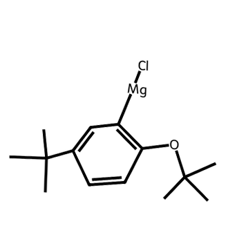 CC(C)(C)Oc1ccc(C(C)(C)C)c[c]1[Mg][Cl]